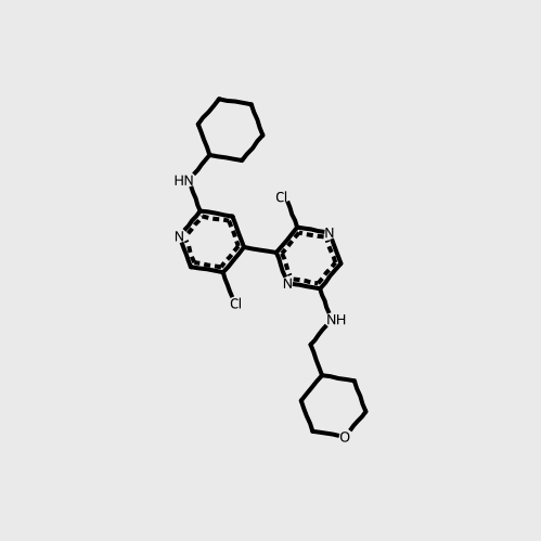 Clc1cnc(NC2CCCCC2)cc1-c1nc(NCC2CCOCC2)cnc1Cl